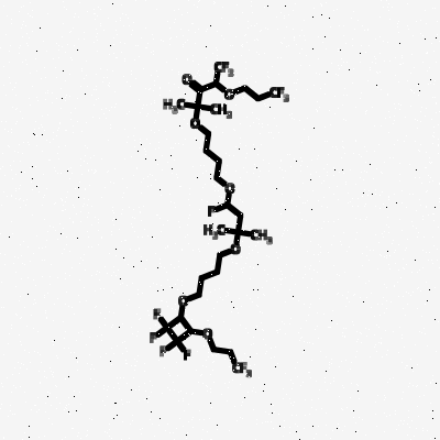 CC(C)(CC(F)OCCCCOC(C)(C)C(=O)C(OCCC(F)(F)F)C(F)(F)F)OCCCCOC1C(OCCC(F)(F)F)C(F)(F)C1(F)F